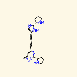 C=C/C=C(C#CC#Cc1cnc([C@@H]2CCCN2)[nH]1)\N=C(/N)[C@@H]1CCCN1